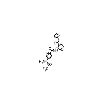 NC(c1ccc(C(=O)NC[C@H]2COCCN2C(=O)Cc2cccs2)nc1)[N@]1OC1C(F)(F)F